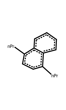 CCCc1ccc(CCC)c2ccccc12